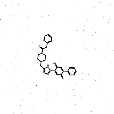 N=C1C=C(c2ccccc2)C(=O)C=C1c1ncc(CC2CCN(C(=O)Cc3cccnc3)CC2)[nH]1